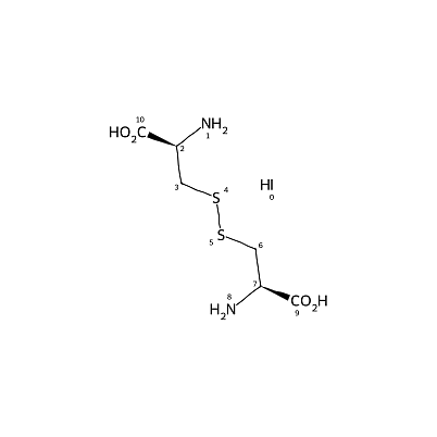 I.N[C@@H](CSSC[C@H](N)C(=O)O)C(=O)O